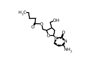 CCCCC(=O)OCC1OC(n2ccc(N)nc2=O)CC1CO